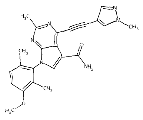 COc1ccc(C)c(-n2cc(C(N)=O)c3c(C#Cc4cnn(C)c4)nc(C)nc32)c1C